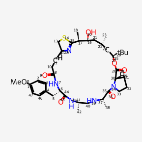 COc1ccc(C[C@@H]2NC(=O)CC[C@@H]3CSC(=N3)[C@@H](C)[C@@H](O)C[C@H](C)C[C@@H](C(C)(C)C)OC(=O)[C@@H]3CCCN3C(=O)[C@H](C)NC[C@H](C)NC2=O)cc1